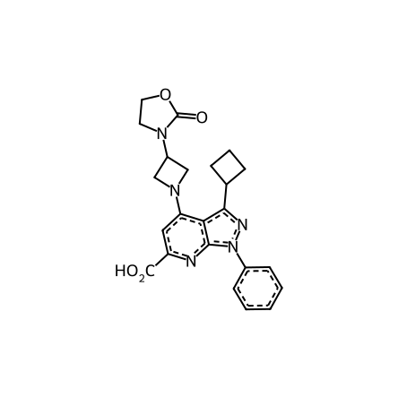 O=C(O)c1cc(N2CC(N3CCOC3=O)C2)c2c(C3CCC3)nn(-c3ccccc3)c2n1